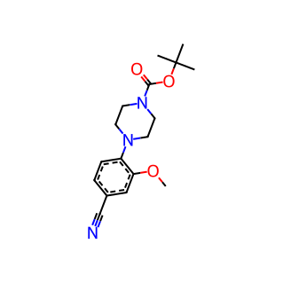 COc1cc(C#N)ccc1N1CCN(C(=O)OC(C)(C)C)CC1